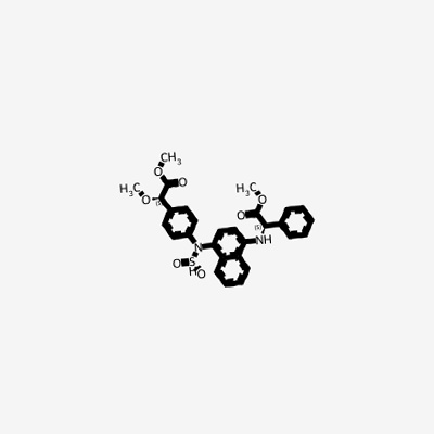 COC(=O)[C@@H](Nc1ccc(N(c2ccc([C@H](OC)C(=O)OC)cc2)[SH](=O)=O)c2ccccc12)c1ccccc1